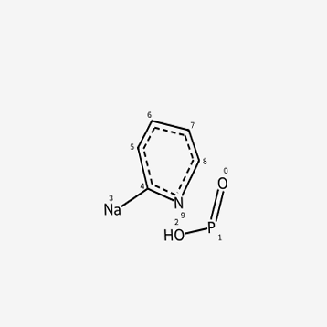 O=PO.[Na][c]1ccccn1